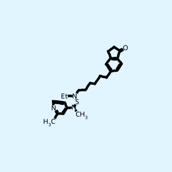 CCN(CCCCCCc1ccc2c(c1)CCC2=O)SN(C)c1ccnc(C)c1